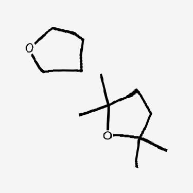 C1CCOC1.CC1(C)CCC(C)(C)O1